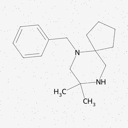 CC1(C)CN(Cc2ccccc2)C2(CCCC2)CN1